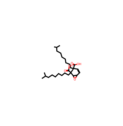 CC(C)CCCCCCCC1(C(=O)O)C=CC2OC2C1(CCCCCCCC(C)C)C(=O)O